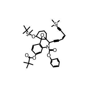 CC(C)(C)C(=O)Oc1ccc2c(c1)N(C(=O)Oc1ccccc1)C(C#C/C=C\C#C[Si](C)(C)C)C13CCCC(O[Si](C)(C)C(C)(C)C)C21O3